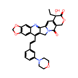 CC[C@@]1(O)C(=O)OCc2c1cc1n(c2=O)Cc2c-1nc1cc3c(cc1c2C=Cc1cccc(N2CCOCC2)c1)OCO3